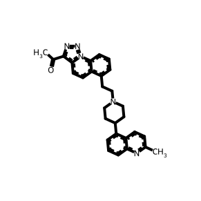 CC(=O)c1nnn2c1ccc1c(CCN3CCC(c4cccc5nc(C)ccc45)CC3)cccc12